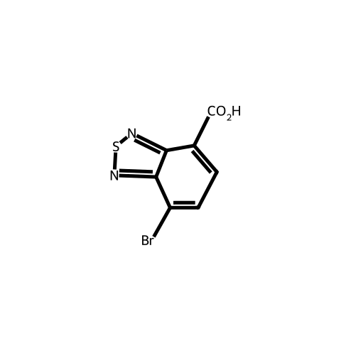 O=C(O)c1ccc(Br)c2nsnc12